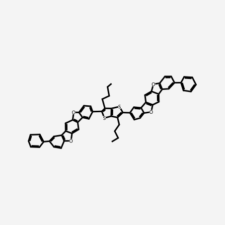 CCCCc1c(-c2ccc3oc4cc5c(cc4c3c2)oc2ccc(-c3ccccc3)cc25)sc2c(CCCC)c(-c3ccc4oc5cc6c(cc5c4c3)oc3ccc(-c4ccccc4)cc36)sc12